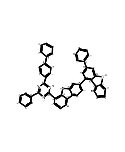 c1ccc(-c2ccc(-c3nc(-c4ccccc4)nc(-c4cccc5c4sc4cc(-c6cc(-c7ccccc7)cc7oc8ccccc8c67)ccc45)n3)cc2)cc1